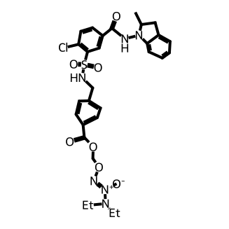 CCN(CC)[N+]([O-])=NOCOC(=O)c1ccc(CNS(=O)(=O)c2cc(C(=O)NN3c4ccccc4CC3C)ccc2Cl)cc1